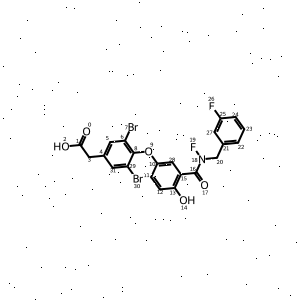 O=C(O)Cc1cc(Br)c(Oc2ccc(O)c(C(=O)N(F)Cc3cccc(F)c3)c2)c(Br)c1